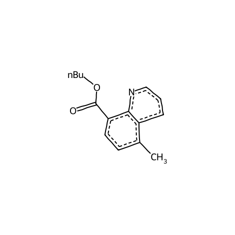 CCCCOC(=O)c1ccc(C)c2cccnc12